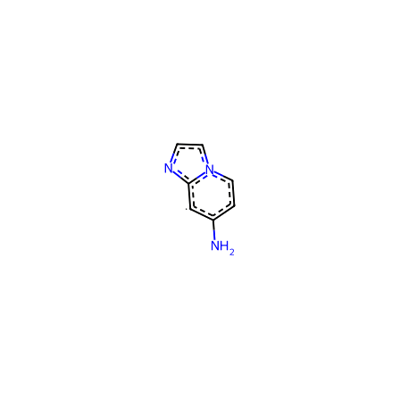 Nc1[c]c2nccn2cc1